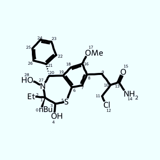 CCCC[C@]1(CC)C(O)Sc2cc(CC(CCl)C(N)=O)c(OC)cc2[C@@H](c2ccccc2)N1O